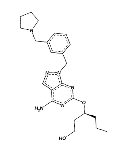 CCC[C@@H](CCO)Oc1nc(N)c2cnn(Cc3cccc(CN4CCCC4)c3)c2n1